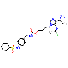 C=C(N)c1ncn(CCCCOC(=O)NCc2ccc(NS(=O)(=O)C3CCCCC3)cc2)c1/N=C(\C)Cl